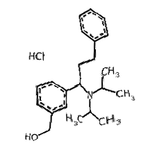 CC(C)N(C(C)C)C(CCc1ccccc1)c1cccc(CO)c1.Cl